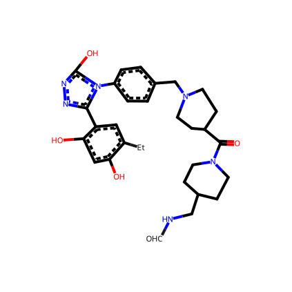 CCc1cc(-c2nnc(O)n2-c2ccc(CN3CCC(C(=O)N4CCC(CNC=O)CC4)CC3)cc2)c(O)cc1O